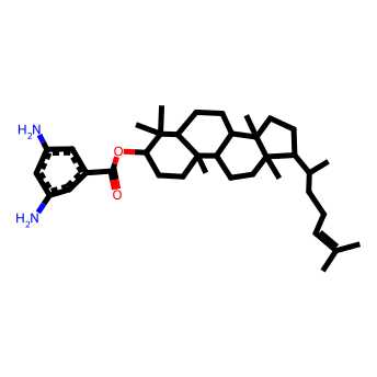 CC(C)=CCCC(C)C1CCC2(C)C3CCC4C(C)(C)C(OC(=O)c5cc(N)cc(N)c5)CCC4(C)C3CCC12C